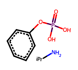 CC(C)N.O=P(O)(O)Oc1ccccc1